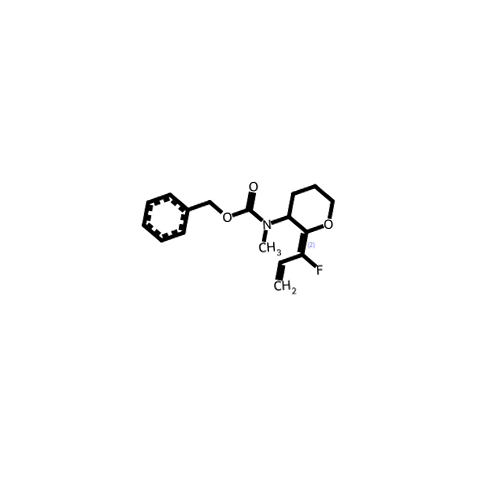 C=C/C(F)=C1/OCCCC1N(C)C(=O)OCc1ccccc1